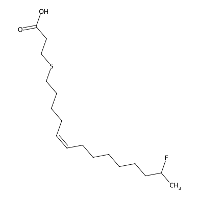 CC(F)CCCCCC/C=C\CCCCSCCC(=O)O